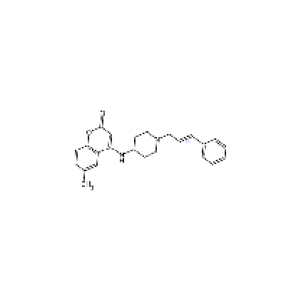 Cc1ccc2oc(=O)cc(NC3CCN(C/C=C/c4ccccc4)CC3)c2c1